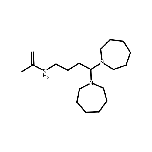 C=C(C)[SiH2]CCCC(N1CCCCCC1)N1CCCCCC1